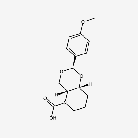 COc1ccc([C@@H]2OC[C@@H]3[C@@H](CCCN3C(=O)O)O2)cc1